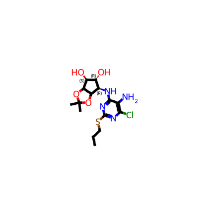 CCCSc1nc(Cl)c(N)c(N[C@H]2C3OC(C)(C)OC3[C@@H](O)[C@@H]2O)n1